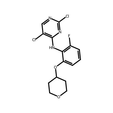 Fc1cccc(OC2CCOCC2)c1Nc1nc(Cl)ncc1Cl